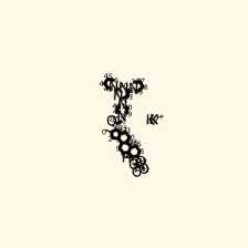 C[C@@H]1CC2C3CC[C@H]4C[C@H](OP(=O)([O-])[O-])CC[C@]4(C)C3CC[C@]2(C)[C@H]1C(=O)CN1CCN(c2cc(N3CCCC3)nc(N3CCCC3)n2)CC1.[K+].[K+]